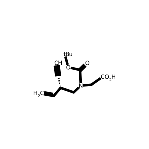 C#C[C@@H](C=C)CN(CC(=O)O)C(=O)OC(C)(C)C